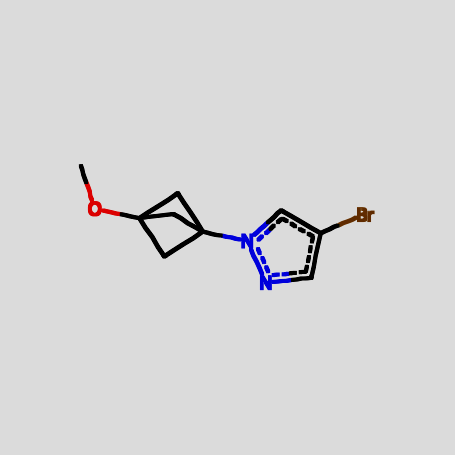 COC12CC(n3cc(Br)cn3)(C1)C2